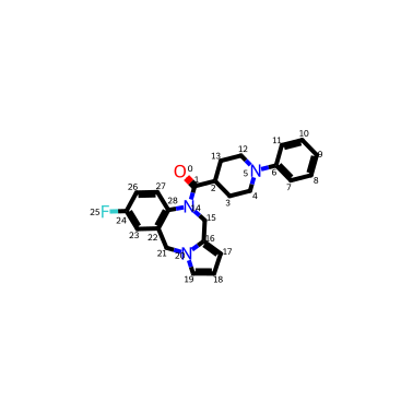 O=C(C1CCN(c2ccccc2)CC1)N1Cc2cccn2Cc2cc(F)ccc21